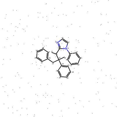 CC(c1nccn1-c1ccccc1)C(C)(Cc1ccccc1)c1ccccc1